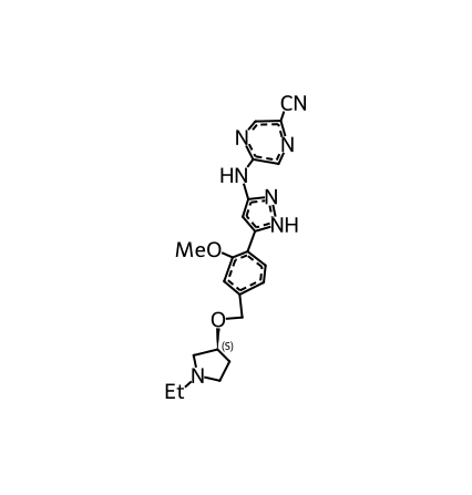 CCN1CC[C@H](OCc2ccc(-c3cc(Nc4cnc(C#N)cn4)n[nH]3)c(OC)c2)C1